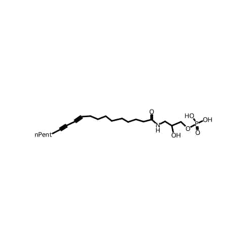 CCCCCC#CC#CCCCCCCCCC(=O)NCC(O)COP(=O)(O)O